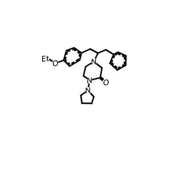 CCOc1ccc(CC(Cc2ccccc2)N2CCN(N3CCCC3)C(=O)C2)cc1